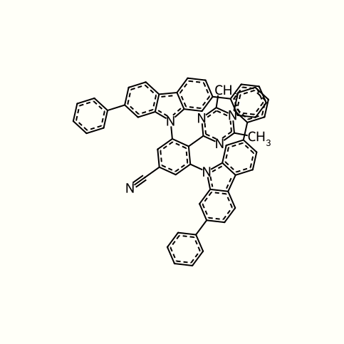 Cc1nc(C)nc(-c2c(-n3c4cc(-c5ccccc5)ccc4c4ccc(-c5ccccc5)cc43)cc(C#N)cc2-n2c3cc(-c4ccccc4)ccc3c3ccc(-c4ccccc4)cc32)n1